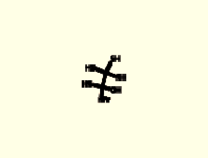 CCCC(O)(S)C(S)(S)S